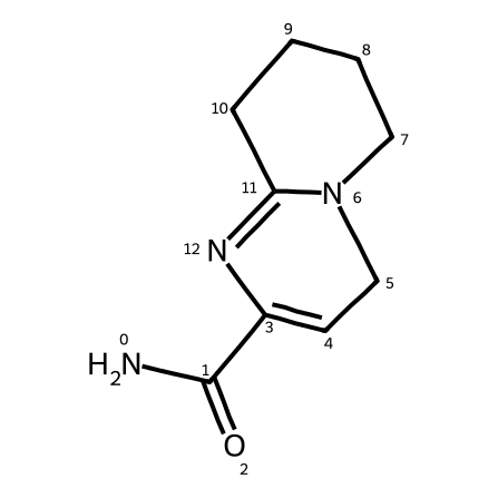 NC(=O)C1=CCN2CCCCC2=N1